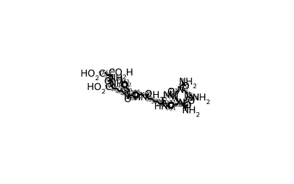 NC(=O)CN1CCN(CC(N)=O)CCN(CC(N)=O)C(Cc2ccc(NC(=S)CCCCCC(=O)NCc3ccc(C(=O)N(CCCCC[C@@H](NC(=O)N[C@H](CCC(=O)O)C(=O)O)C(=O)O)Cc4ccc(I)cc4)cc3)cc2)CN(CC(N)=O)CC1